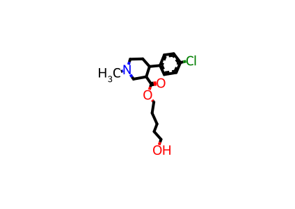 CN1CCC(c2ccc(Cl)cc2)C(C(=O)OCCCCCO)C1